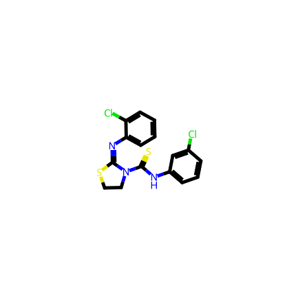 S=C(Nc1cccc(Cl)c1)N1CCS/C1=N/c1ccccc1Cl